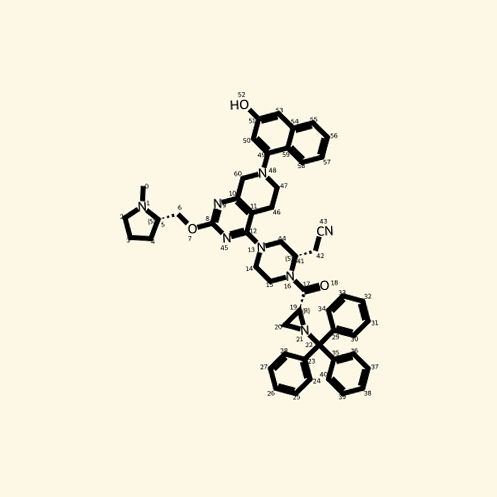 CN1CCC[C@H]1COc1nc2c(c(N3CCN(C(=O)[C@H]4CN4C(c4ccccc4)(c4ccccc4)c4ccccc4)[C@@H](CC#N)C3)n1)CCN(c1cc(O)cc3ccccc13)C2